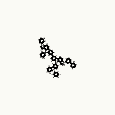 c1ccc(-c2cccc(-n3ncc4c3ccc3c5cc(-c6ccc7c8ccc9c(ccn9-c9ccccc9)c8n(-c8ccccc8)c7c6)ccc5n(-c5ccc6c(c5)c5ccccc5n6-c5ccccc5)c34)c2)cc1